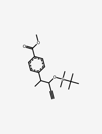 C#CC(O[Si](C)(C)C(C)(C)C)C(C)c1ccc(C(=O)OC)cc1